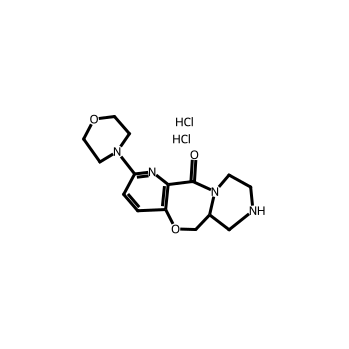 Cl.Cl.O=C1c2nc(N3CCOCC3)ccc2OCC2CNCCN12